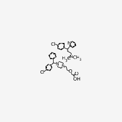 CN(C)CCC(c1ccc(Cl)cc1)c1ccccn1.O=C(O)COCCN1CCN(C(c2ccccc2)c2ccc(Cl)cc2)CC1